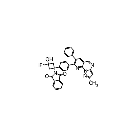 Cc1cc2ncc3cc(-c4ccccc4)c(-c4ccc([C@]5(N6C(=O)c7ccccc7C6=O)C[C@](O)(C(C)C)C5)cc4)nc3n2n1